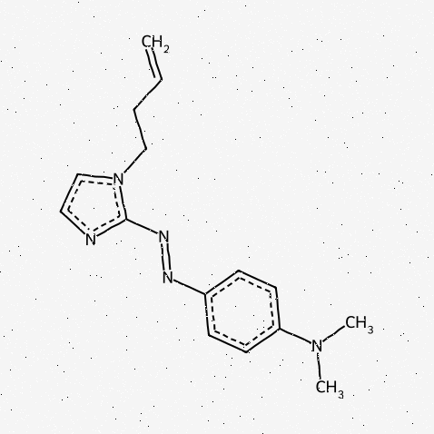 C=CCCn1ccnc1/N=N/c1ccc(N(C)C)cc1